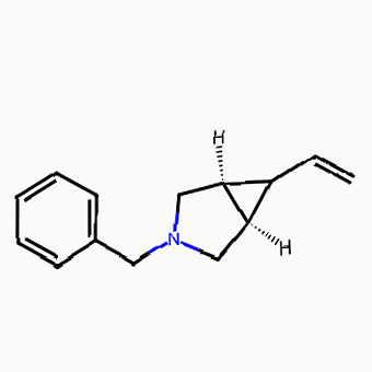 C=CC1[C@H]2CN(Cc3ccccc3)C[C@@H]12